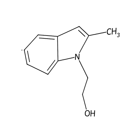 Cc1cc2c[c]ccc2n1CCO